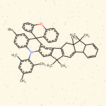 Cc1cc(C)c(N2c3ccc(C(C)(C)C)cc3C3(c4ccccc4Oc4ccccc43)c3cc4c(cc32)C(C)(C)C2=C4CC3(C)C(=C2)C2C=CC=CC2C3(C)C)c(C)c1